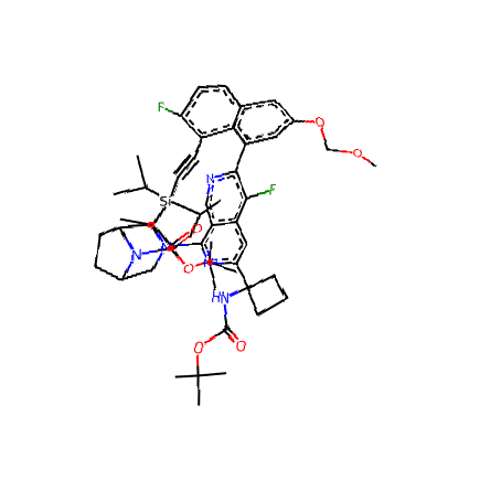 COCOc1cc(-c2ncc3c(N4CC5CCC(C4)N5C(=O)OC(C)(C)C)nc(C4(NC(=O)OC(C)(C)C)CCC4)cc3c2F)c2c(C#C[Si](C(C)C)(C(C)C)C(C)C)c(F)ccc2c1